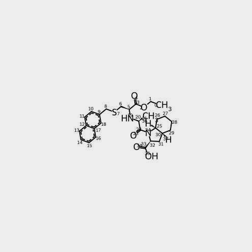 CCOC(=O)[C@H](CSCc1ccc2ccccc2c1)N[C@@H](C)C(=O)N1[C@@H]2CCCC[C@@H]2C[C@H]1C(=O)O